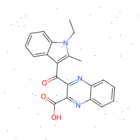 CCn1c(C)c(C(=O)c2nc3ccccc3nc2C(=O)O)c2ccccc21